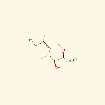 C=C[C@H](OC)[C@@H](O)[C@H](C)C=C(C)CBr